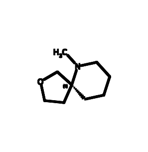 CN1CCCC[C@@]12CCOC2